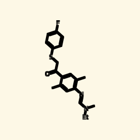 CCN(C)C=Nc1cc(C)c(C(=O)CSc2ccc(F)cc2)cc1C